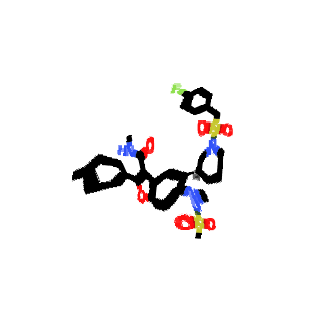 CNC(=O)c1c(-c2ccc(C)cc2)oc2cc(N(C)S(C)(=O)=O)c([C@H]3CCCN(S(=O)(=O)Cc4ccc(F)cc4)C3)cc12